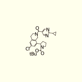 CC(C)(C)OC(=O)N1CCCC1c1cc(Cl)cc2c1CN(C(=O)c1cnc(C3CC3)nc1)CC2